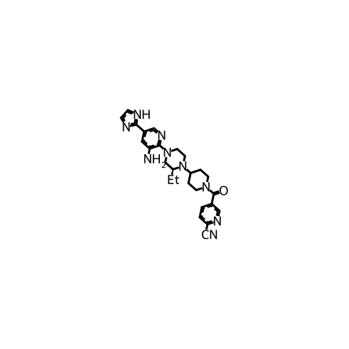 CC[C@H]1CN(c2ncc(-c3ncc[nH]3)cc2N)CCN1C1CCN(C(=O)c2ccc(C#N)nc2)CC1